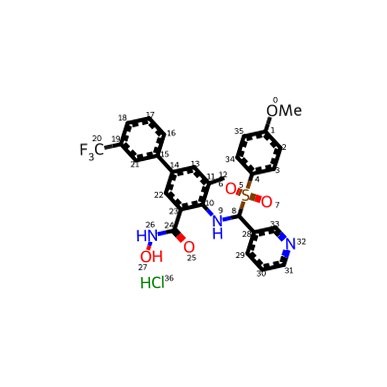 COc1ccc(S(=O)(=O)C(Nc2c(C)cc(-c3cccc(C(F)(F)F)c3)cc2C(=O)NO)c2cccnc2)cc1.Cl